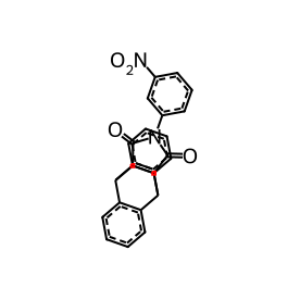 O=C1C2=C(C(=O)N1c1cccc([N+](=O)[O-])c1)C1c3ccccc3C2c2ccccc21